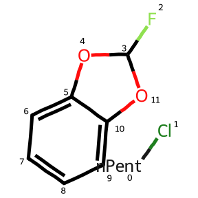 CCCCCCl.FC1Oc2ccccc2O1